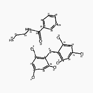 Clc1cc(Cl)c(Sc2c(Cl)cc(Cl)cc2Cl)c(Cl)c1.O=C(NCCS)c1cccnc1